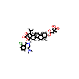 CC(=O)O[C@H](CN(CCN(C)C)Cc1ccccc1Cl)[C@@]12CC[C@]3(C)[C@H](CC[C@@H]4[C@@]5(C)CC[C@H](OC(=O)CC(C)(C)C(=O)O)[C@H](C)[C@@H]5CC[C@]43C)C1=C(C(C)C)C(=O)C2